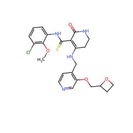 COc1c(Cl)cccc1NC(=S)C1=C(NCc2ccncc2OCC2CCO2)CCNC1=O